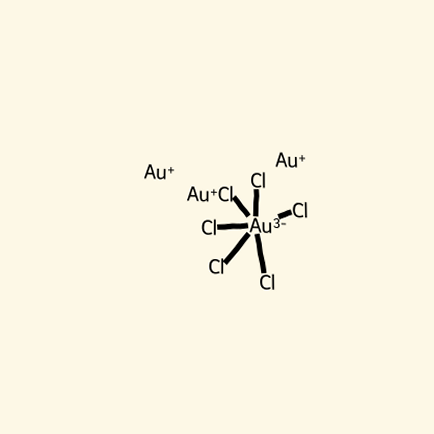 [Au+].[Au+].[Au+].[Cl][Au-3]([Cl])([Cl])([Cl])([Cl])[Cl]